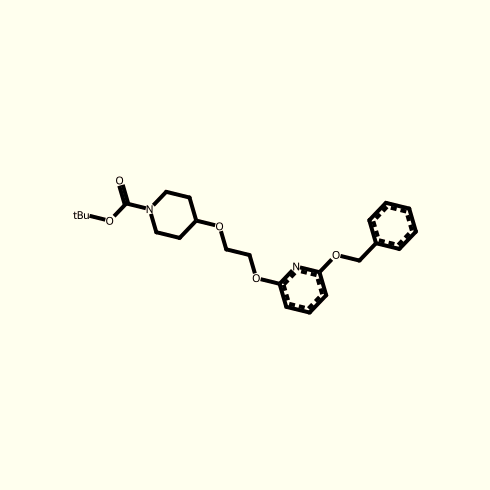 CC(C)(C)OC(=O)N1CCC(OCCOc2cccc(OCc3ccccc3)n2)CC1